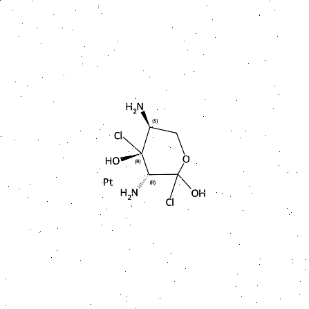 N[C@H]1COC(O)(Cl)[C@H](N)[C@]1(O)Cl.[Pt]